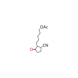 CC(=O)OCCCCCC1C(=O)CCC1C#N